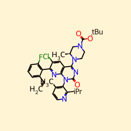 C=Cc1cccc(F)c1-c1nc2c(cc1Cl)c(N1CCN(C(=O)OC(C)(C)C)C[C@@H]1C)nc(=O)n2-c1c(C)ccnc1C(C)C